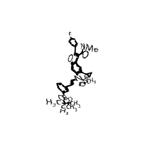 CNC(=O)c1c(-c2ccc(F)cc2)oc2cc(N(CCc3cccc(B4OC(C)(C)C(C)(C)O4)c3)S(C)(=O)=O)c(C3CC3)cc12